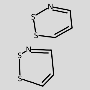 C1=CSSN=C1.C1=CSSN=C1